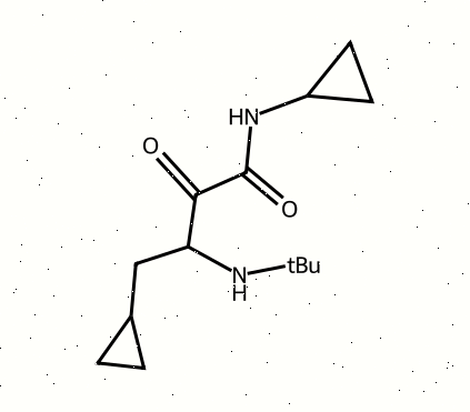 CC(C)(C)NC(CC1CC1)C(=O)C(=O)NC1CC1